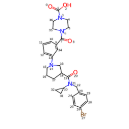 O=C(O)N1CCN(C(=O)c2cccc(N3CCCC(C(=O)N(Cc4ccc(Br)cc4)C4CC4)C3)c2)CC1